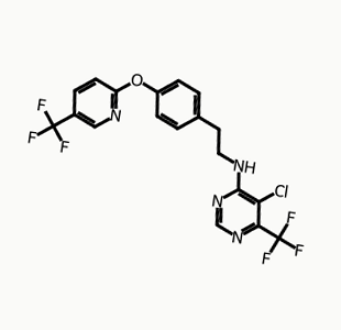 FC(F)(F)c1ccc(Oc2ccc(CCNc3ncnc(C(F)(F)F)c3Cl)cc2)nc1